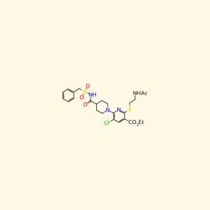 CCOC(=O)c1cc(Cl)c(N2CCC(C(=O)NS(=O)(=O)Cc3ccccc3)CC2)nc1SCCNC(C)=O